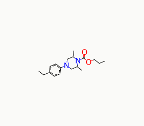 CCCOC(=O)N1C(C)CN(c2ccc(CC)cc2)CC1C